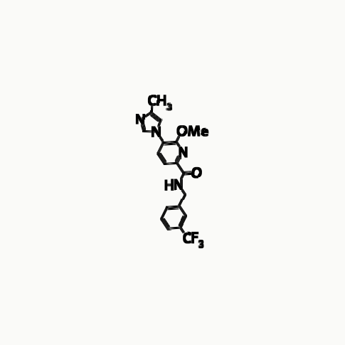 COc1nc(C(=O)NCc2cccc(C(F)(F)F)c2)ccc1-n1cnc(C)c1